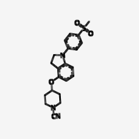 CS(=O)(=O)c1ccc(N2CCc3c(OC4CCN(C#N)CC4)cccc32)cc1